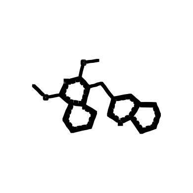 COc1nc(OC)c2ccccc2c1Cc1cnc2ccccc2c1